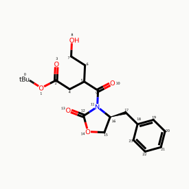 CC(C)(C)OC(=O)CC(CCO)C(=O)N1C(=O)OC[C@@H]1Cc1ccccc1